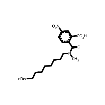 CCCCCCCCCCCCCCCCCCN(C)C(=O)c1ccc([N+](=O)[O-])cc1C(=O)O